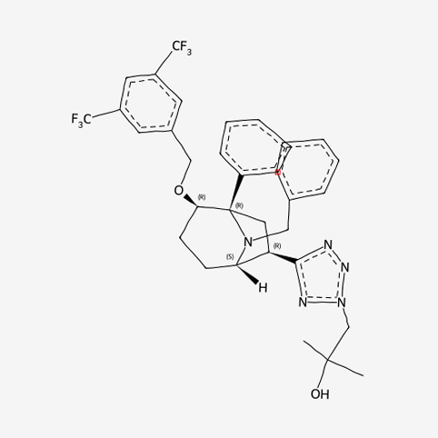 CC(C)(O)Cn1nnc([C@@H]2C[C@@]3(c4ccccc4)[C@H](OCc4cc(C(F)(F)F)cc(C(F)(F)F)c4)CC[C@@H]2N3Cc2ccccc2)n1